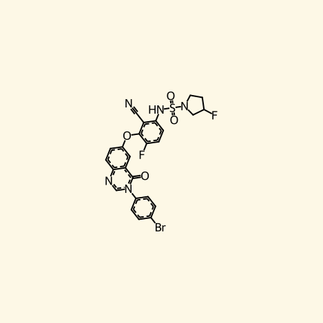 N#Cc1c(NS(=O)(=O)N2CCC(F)C2)ccc(F)c1Oc1ccc2ncn(-c3ccc(Br)cc3)c(=O)c2c1